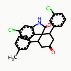 Cc1cccc(C2CC(=O)CC(c3cccc(Cl)c3)C23C(=O)Nc2cc(Cl)ccc23)c1